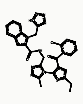 CCc1cc(C(=O)c2ccccc2Cl)c(-n2c(C)nnc2CNC(=O)c2cc3ccccc3n2Cc2nnn[nH]2)s1